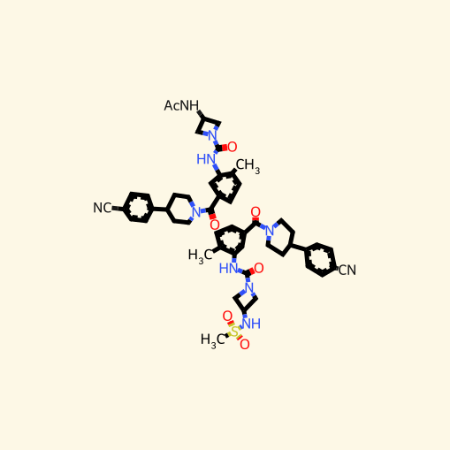 CC(=O)NC1CN(C(=O)Nc2cc(C(=O)N3CCC(c4ccc(C#N)cc4)CC3)ccc2C)C1.Cc1ccc(C(=O)N2CCC(c3ccc(C#N)cc3)CC2)cc1NC(=O)N1CC(NS(C)(=O)=O)C1